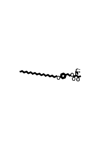 [C-]#[N+]C(C(C)=O)C(=O)OCCc1ccc(OCCCCCCCCCCCCCCCCCC)cc1